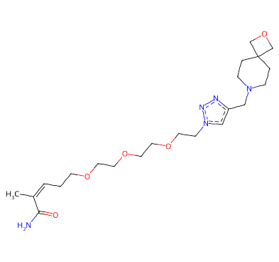 CC(=CCCOCCOCCOCCn1cc(CN2CCC3(CC2)COC3)nn1)C(N)=O